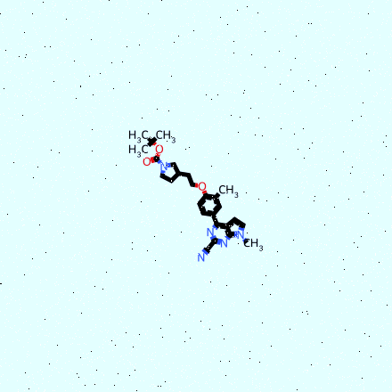 Cc1cc(-c2nc(C#N)nc3c2ccn3C)ccc1OCCC1CCN(C(=O)OC(C)(C)C)C1